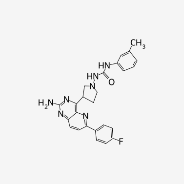 Cc1cccc(NC(=O)NN2CCC(c3nc(N)nc4ccc(-c5ccc(F)cc5)nc34)C2)c1